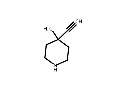 C#CC1(C)CCNCC1